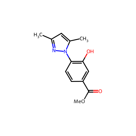 COC(=O)c1ccc(-n2nc(C)cc2C)c(O)c1